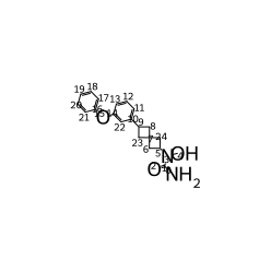 NC(=O)N(O)C1CC2(CC(c3cccc(Oc4ccccc4)c3)C2)C1